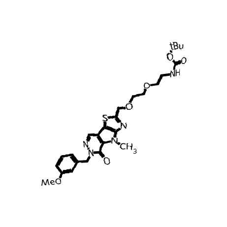 COc1cccc(Cn2ncc3c4sc(COCCOCCNC(=O)OC(C)(C)C)nc4n(C)c3c2=O)c1